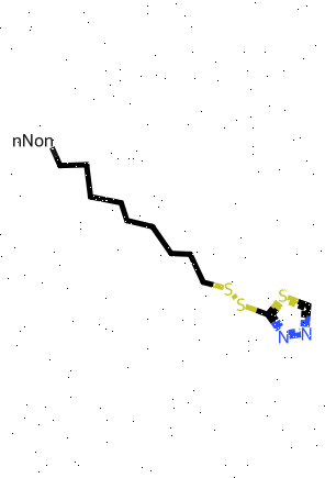 CCCCCCCCCCCCCCCCCCSSc1nncs1